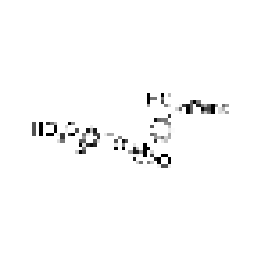 CCCCCC(O)c1ccc(N2C(=O)CC[C@@H]2COCc2csc(C(=O)O)c2)cc1